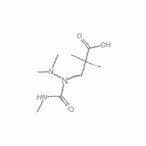 CNC(=O)N(CC(C)(C)C(=O)O)N(C)C